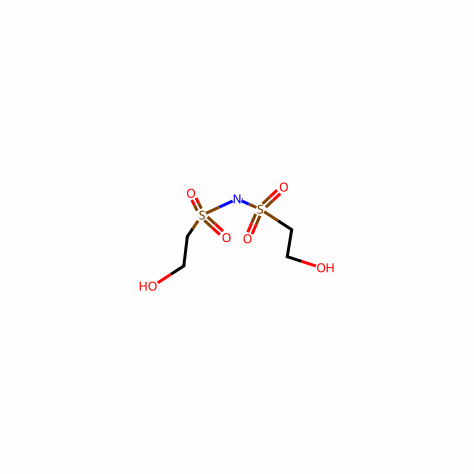 O=S(=O)(CCO)[N]S(=O)(=O)CCO